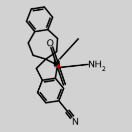 CN1C(=O)C2(N=C1N)c1cc(C#N)ccc1CC21CCc2ccccc2CC1